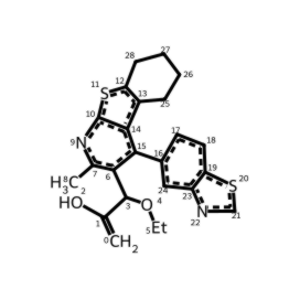 C=C(O)C(OCC)c1c(C)nc2sc3c(c2c1-c1ccc2scnc2c1)CCCC3